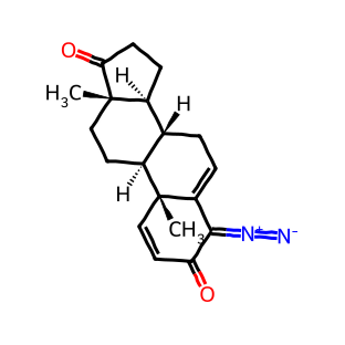 C[C@]12C=CC(=O)C(=[N+]=[N-])C1=CC[C@@H]1[C@@H]2CC[C@]2(C)C(=O)CC[C@@H]12